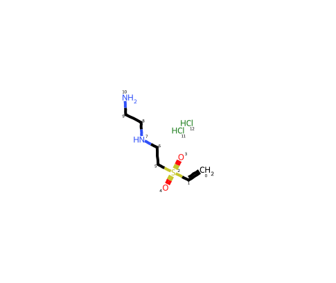 C=CS(=O)(=O)CCNCCN.Cl.Cl